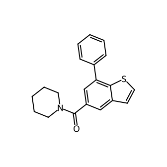 O=C(c1cc(-c2ccccc2)c2sccc2c1)N1CCCCC1